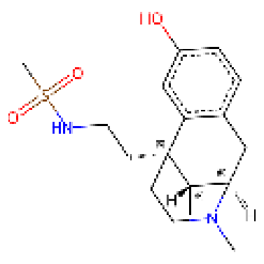 C[C@H]1[C@H]2Cc3ccc(O)cc3[C@]1(CCNS(C)(=O)=O)CCN2C